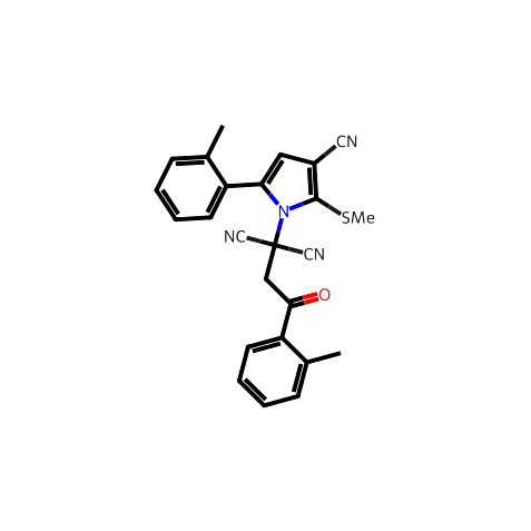 CSc1c(C#N)cc(-c2ccccc2C)n1C(C#N)(C#N)CC(=O)c1ccccc1C